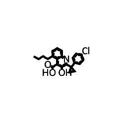 CCCCc1cccc2nc(C3(c4ccc(Cl)cc4)CC3)c(O)c(C(=O)O)c12